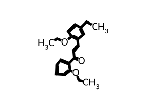 CCOc1ccc(CC)cc1/C=C/C(=O)c1ccccc1OCC